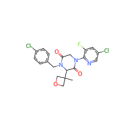 CC1(C2C(=O)N(c3ncc(Cl)cc3F)CC(=O)N2Cc2ccc(Cl)cc2)COC1